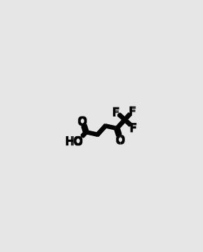 O=C(O)CCC(=O)C(F)(F)F